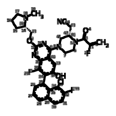 C=C(F)C(=O)N1CCN(c2nc(OC[C@@H]3CCCN3C)nc3c(F)c(-c4cccc5ccc(F)c(Cl)c45)c(O)cc23)C[C@@H]1CC#N